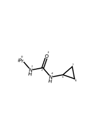 CC(C)NC(=O)NC1CC1